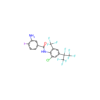 Nc1cc(C(=O)Nc2c(Cl)cc(C(F)(C(F)(F)F)C(F)(F)F)cc2C(F)(F)F)ccc1I